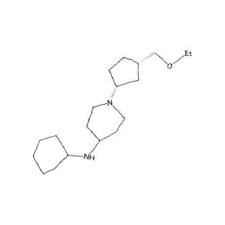 CCOC[C@H]1CC[C@@H](N2CCC(NC3CCCCC3)CC2)C1